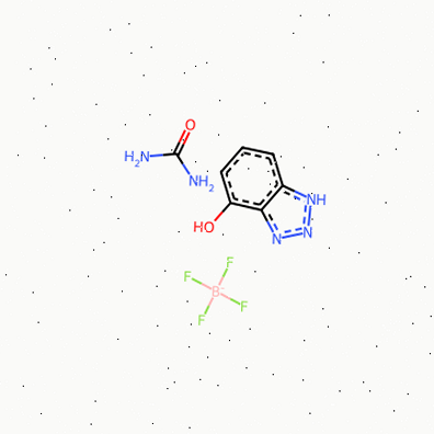 F[B-](F)(F)F.NC(N)=O.Oc1cccc2[nH]nnc12